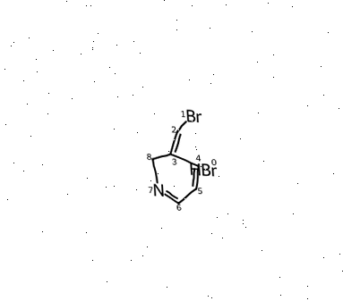 Br.Br/C=C1\C=CC=NC1